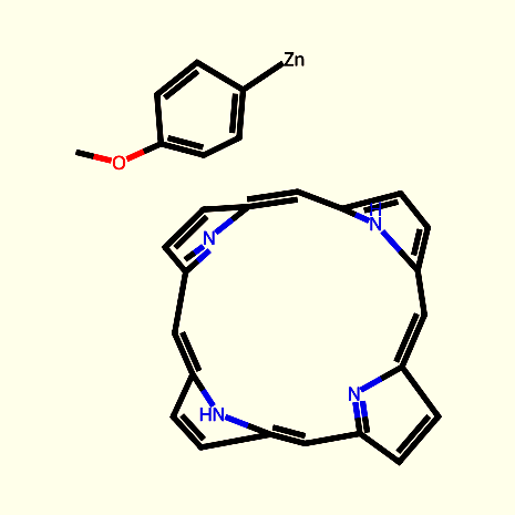 C1=Cc2cc3ccc(cc4nc(cc5ccc(cc1n2)[nH]5)C=C4)[nH]3.COc1cc[c]([Zn])cc1